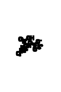 O=C(O)O.O=C([O-])[O-].[Cl-].[K+].[Na+].[Na+]